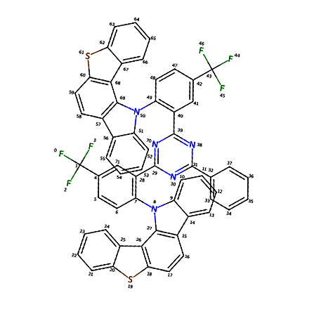 FC(F)(F)c1ccc(-n2c3ccccc3c3ccc4sc5ccccc5c4c32)c(-c2nc(-c3ccccc3)nc(-c3cc(C(F)(F)F)ccc3-n3c4ccccc4c4ccc5sc6ccccc6c5c43)n2)c1